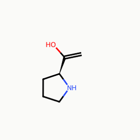 C=C(O)[C@@H]1CCCN1